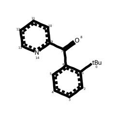 CC(C)(C)c1ccccc1C(=O)c1ccccn1